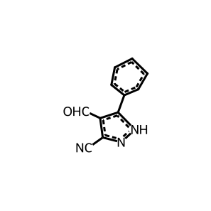 N#Cc1n[nH]c(-c2ccccc2)c1C=O